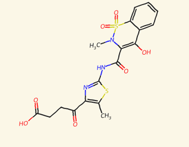 Cc1sc(NC(=O)C2=C(O)c3ccccc3S(=O)(=O)N2C)nc1C(=O)CCC(=O)O